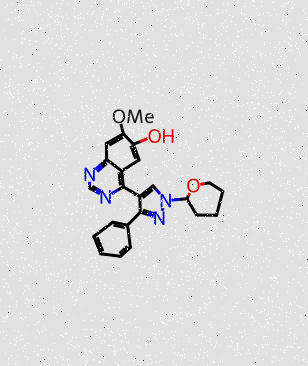 COc1cc2ncnc(-c3cn(C4CCCCO4)nc3-c3ccccc3)c2cc1O